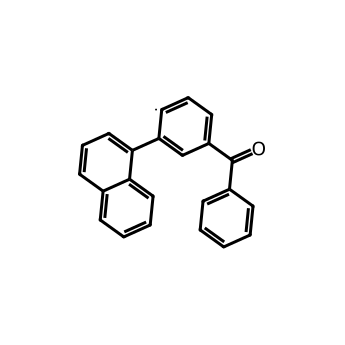 O=C(c1ccccc1)c1cc[c]c(-c2cccc3ccccc23)c1